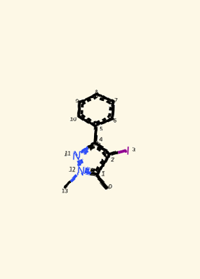 Cc1c(I)c(-c2ccccc2)nn1C